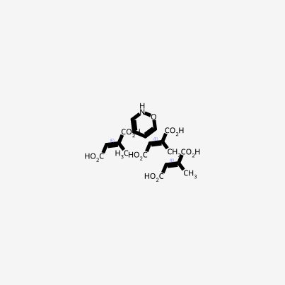 C/C(=C\C(=O)O)C(=O)O.C/C(=C\C(=O)O)C(=O)O.C/C(=C\C(=O)O)C(=O)O.C1=CNOC=C1